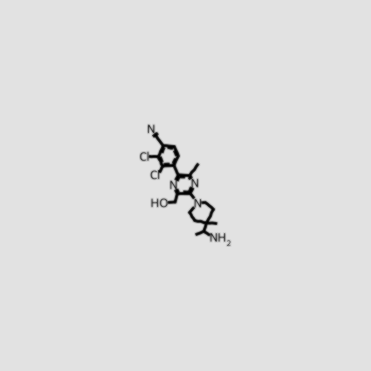 Cc1nc(N2CCC(C)(C(C)N)CC2)c(CO)nc1-c1ccc(C#N)c(Cl)c1Cl